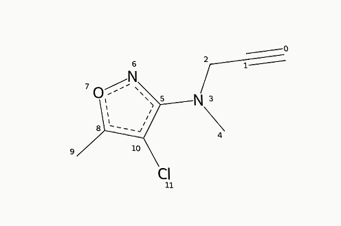 C#CCN(C)c1noc(C)c1Cl